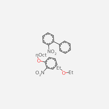 CCCCCCCCOc1ccccc1[N+](=O)[O-].CCOCC.O=[N+]([O-])c1ccccc1-c1ccccc1